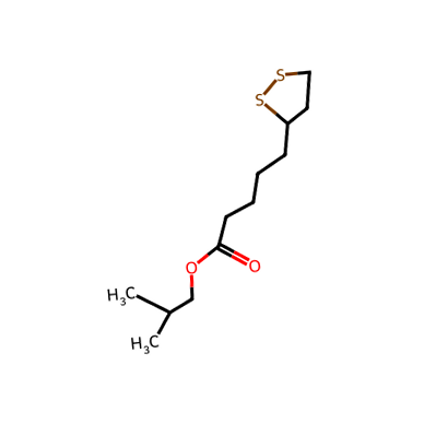 CC(C)COC(=O)CCCCC1CCSS1